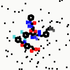 CCc1cccc(CNC[C@@H](OC(=O)CNC(=O)Nc2ccccc2)[C@@H](N)Cc2cc(F)cc(F)c2)c1.O=C(O)Cc1ccc2oc(-c3ccc(F)cc3)nc2c1